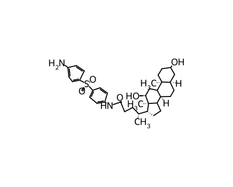 C[C@H](CCC(=O)Nc1ccc(S(=O)(=O)c2ccc(N)cc2)cc1)[C@H]1CCC2[C@@H]3CC[C@@H]4C[C@H](O)CC[C@]4(C)C3C[C@H](O)[C@@]21C